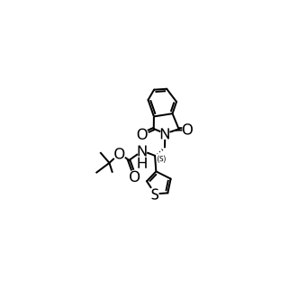 CC(C)(C)OC(=O)N[C@H](CN1C(=O)c2ccccc2C1=O)c1ccsc1